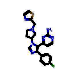 Nc1nccc(-c2c(-c3ccc(F)cc3)ncn2C2CCN(Cc3nccs3)C2)n1